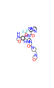 O=C(NC1=CN(CC(=O)N2CCC(CN3CCOCC3)CC2)NC1c1cc2c(cc1OC(F)F)NCCO2)c1cnn2cccnc12